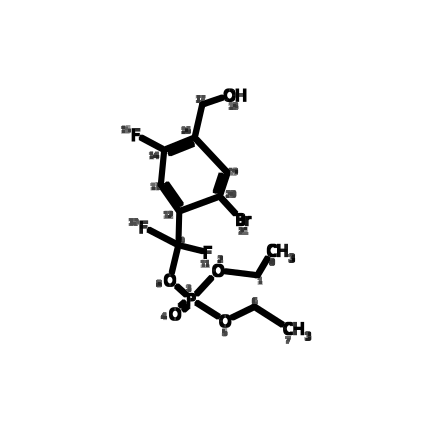 CCOP(=O)(OCC)OC(F)(F)c1cc(F)c(CO)cc1Br